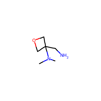 CN(C)C1(CN)COC1